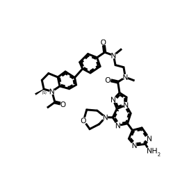 CC(=O)N1c2ccc(-c3ccc(C(=O)N(C)CCN(C)C(=O)c4cn5cc(-c6cnc(N)nc6)nc(N6CCOCC6)c5n4)cc3)cc2CC[C@@H]1C